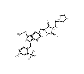 COc1nn(Cc2ccc(Cl)cc2C(F)(F)F)c2ccc(/C=C3\SC(=O)N(CCN4CCCC4)C3=O)cc12